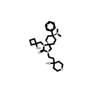 CN(C)[C@]1(c2ccccc2)CC[C@@]2(CC1)CN(CCC1(O)CCOCC1)C(=O)N2CC1(O)CCC1